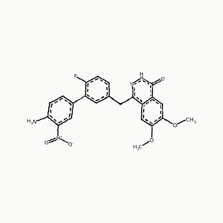 COc1cc2c(Cc3ccc(F)c(-c4ccc(N)c([N+](=O)[O-])c4)c3)n[nH]c(=O)c2cc1OC